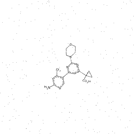 Nc1cc(C(F)(F)F)c(-c2cc(C3(C(=O)O)CC3)nc(N3CCOCC3)n2)cn1